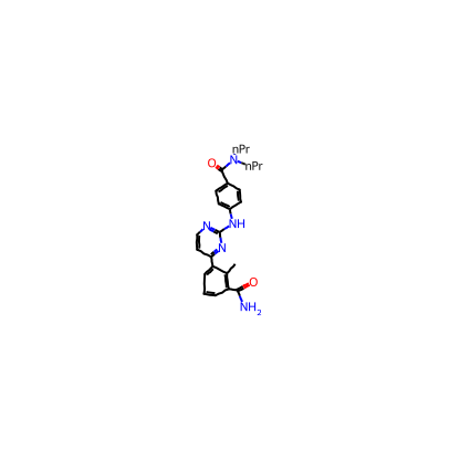 CCCN(CCC)C(=O)c1ccc(Nc2nccc(-c3cccc(C(N)=O)c3C)n2)cc1